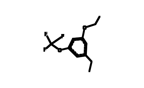 CCOc1cc(CC)cc(OC(F)(F)F)c1